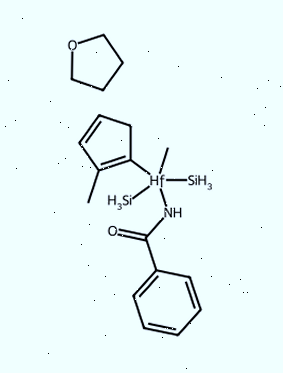 C1CCOC1.CC1=[C]([Hf]([CH3])([SiH3])([SiH3])[NH]C(=O)c2ccccc2)CC=C1